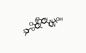 Cc1cc(COc2cc(C)n(-c3cc(-c4ccnc(C(C)(C)O)n4)ncc3Cl)c(=O)c2Cl)cs1